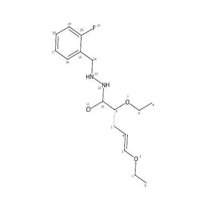 CCO/C=C/C[C@@H](OCC)C(Cl)NNCc1ccccc1F